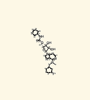 CN(Cc1cccc(F)c1)c1ncnc2c1ncn2[C@@H]1O[C@H](COC(=S)Nc2cccnc2)[C@@H](O)[C@H]1O